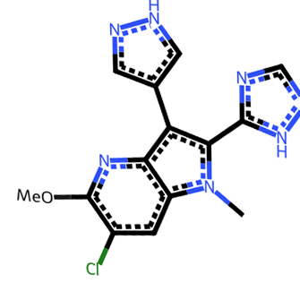 COc1nc2c(-c3cn[nH]c3)c(-c3ncn[nH]3)n(C)c2cc1Cl